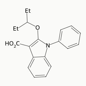 CCC(CC)Oc1c(C(=O)O)c2ccccc2n1-c1ccccc1